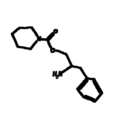 NC(COC(=O)N1CCCCC1)Cc1ccccc1